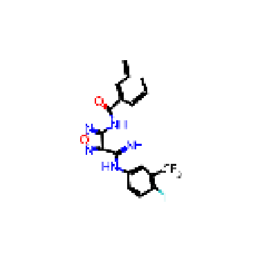 C=C/C=C(\C=C/C)C(=O)Nc1nonc1C(=N)Nc1ccc(F)c(C(F)(F)F)c1